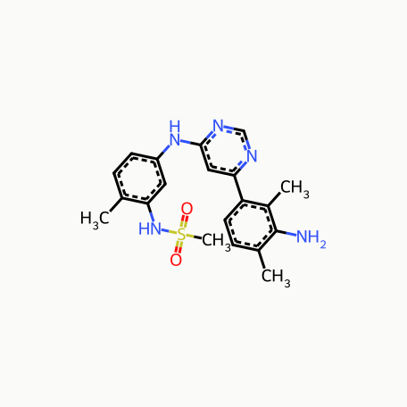 Cc1ccc(Nc2cc(-c3ccc(C)c(N)c3C)ncn2)cc1NS(C)(=O)=O